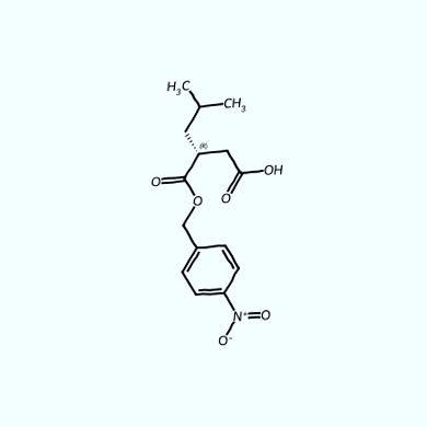 CC(C)C[C@H](CC(=O)O)C(=O)OCc1ccc([N+](=O)[O-])cc1